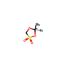 CC[C@@]1(C(C)(C)C)OCS(=O)(=O)O1